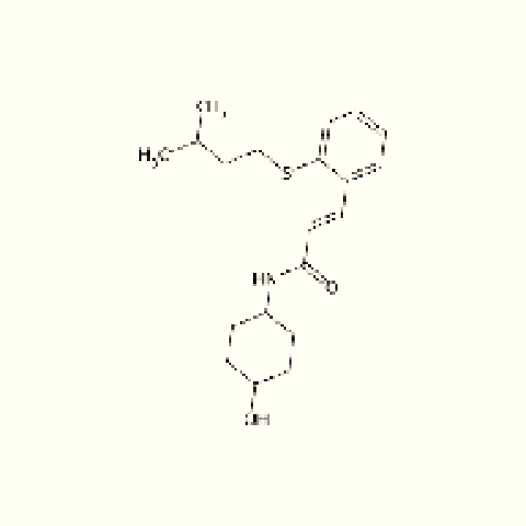 CC(C)CCSc1ccccc1C=CC(=O)NC1CCC(O)CC1